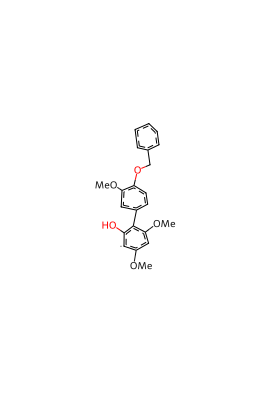 COc1[c]c(O)c(-c2ccc(OCc3ccccc3)c(OC)c2)c(OC)c1